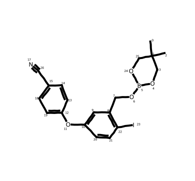 CC1(C)COB(OCc2cc(Oc3ccc(C#N)cc3)ccc2I)OC1